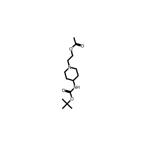 CC(=O)OCCN1CCC(NC(=O)OC(C)(C)C)CC1